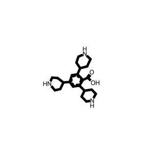 O=C(O)c1c(C2CCNCC2)cc(C2CCNCC2)cc1C1CCNCC1